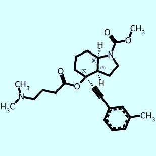 COC(=O)N1CC[C@@H]2[C@H]1CCC[C@]2(C#Cc1cccc(C)c1)OC(=O)CCCN(C)C